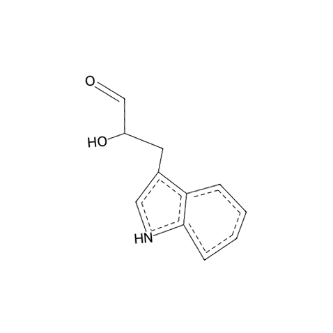 O=CC(O)Cc1c[nH]c2ccccc12